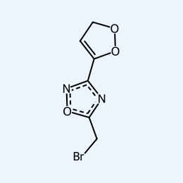 BrCc1nc(C2=CCOO2)no1